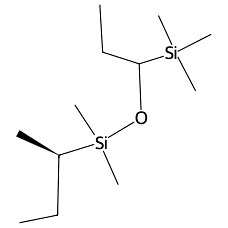 CCC(O[Si](C)(C)[C@H](C)CC)[Si](C)(C)C